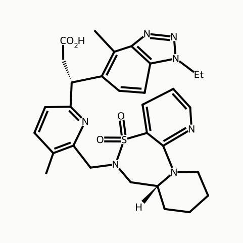 CCn1nnc2c(C)c([C@@H](CC(=O)O)c3ccc(C)c(CN4C[C@H]5CCCCN5c5ncccc5S4(=O)=O)n3)ccc21